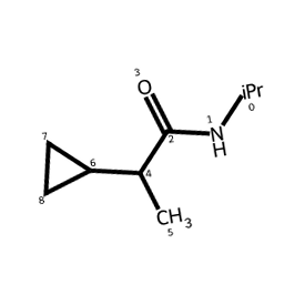 CC(C)NC(=O)C(C)C1CC1